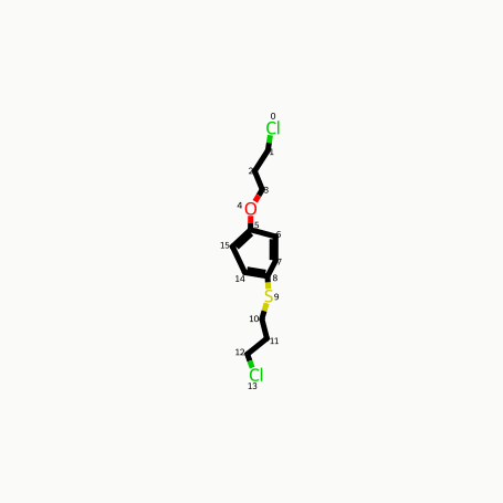 ClCCCOc1ccc(SCCCCl)cc1